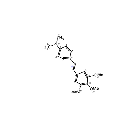 COc1cc(/C=C/c2ccc(N(C)C)cc2)cc(OC)c1OC